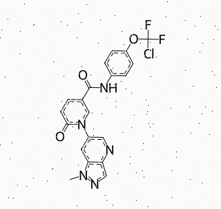 Cn1ncc2ncc(-n3cc(C(=O)Nc4ccc(OC(F)(F)Cl)cc4)ccc3=O)cc21